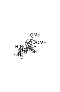 CCCC(=O)O[C@@H]1[C@H](O)[C@@H](C(OC(c2ccccc2)(c2ccc(OC)cc2)c2ccc(OC)cc2)C(=O)C(C)C)O[C@H]1n1cnc2c(OC(=O)N(c3ccccc3)c3ccccc3)nc(N)nc21